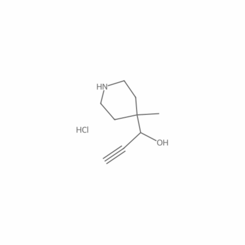 C#CC(O)C1(C)CCNCC1.Cl